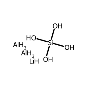 O[Si](O)(O)O.[AlH3].[AlH3].[LiH]